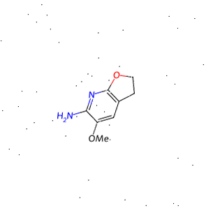 COc1cc2c(nc1N)OCC2